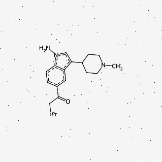 CC(C)CC(=O)c1ccc2c(c1)c(C1CCN(C)CC1)cn2N